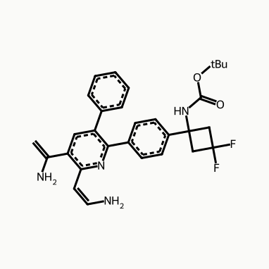 C=C(N)c1cc(-c2ccccc2)c(-c2ccc(C3(NC(=O)OC(C)(C)C)CC(F)(F)C3)cc2)nc1/C=C\N